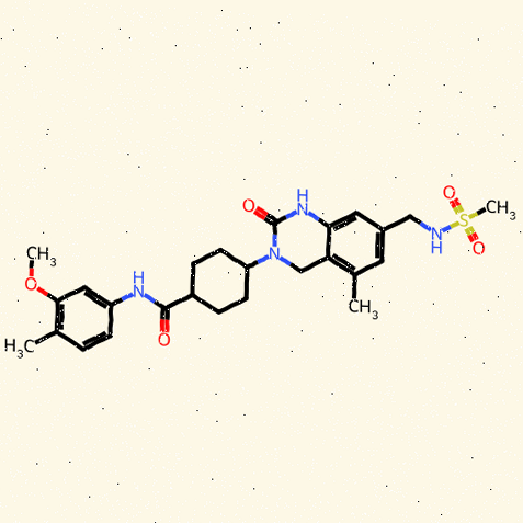 COc1cc(NC(=O)C2CCC(N3Cc4c(C)cc(CNS(C)(=O)=O)cc4NC3=O)CC2)ccc1C